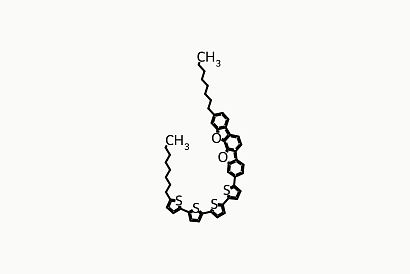 CCCCCCCCc1ccc2c(c1)oc1c2ccc2c3ccc(-c4ccc(-c5ccc(-c6ccc(-c7ccc(CCCCCCCC)s7)s6)s5)s4)cc3oc21